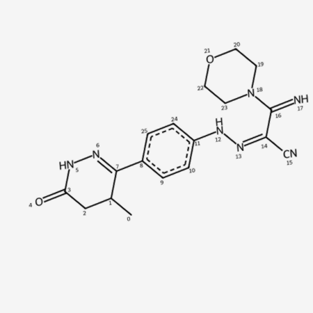 CC1CC(=O)NN=C1c1ccc(NN=C(C#N)C(=N)N2CCOCC2)cc1